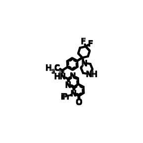 CC(C)n1c(=O)ccc2cnc(N[C@@H](C)c3ccc(C4(N5CCNCC5)CCC(F)(F)CC4)cc3)nc21